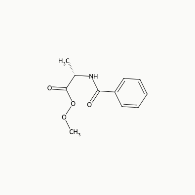 COOC(=O)[C@H](C)NC(=O)c1ccccc1